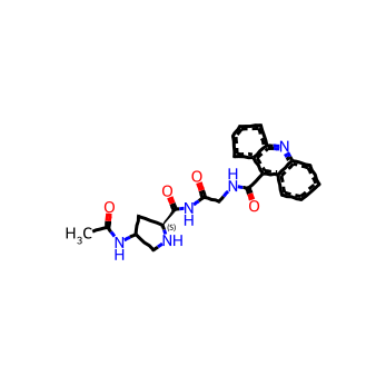 CC(=O)NC1CN[C@H](C(=O)NC(=O)CNC(=O)c2c3ccccc3nc3ccccc23)C1